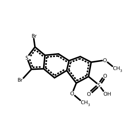 COc1cc2cc3c(Br)sc(Br)c3cc2c(OC)c1S(=O)(=O)O